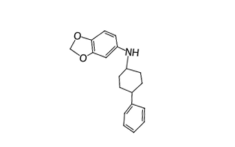 c1ccc(C2CCC(Nc3ccc4c(c3)OCO4)CC2)cc1